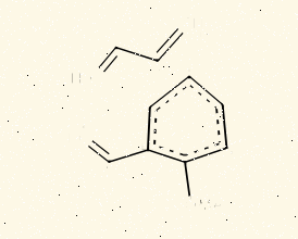 C=CC=C.C=Cc1ccccc1OC